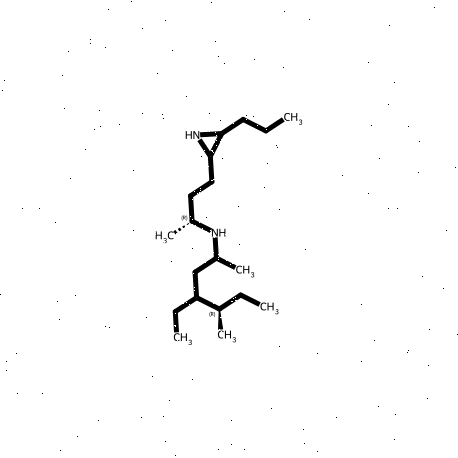 CCCC1NC1CC[C@@H](C)NC(C)CC(CC)[C@H](C)CC